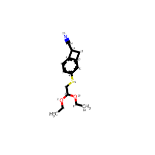 CCOC(CSc1ccc2c(c1)CC2C#N)OCC